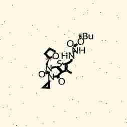 Cc1c(CNNC(=O)OC(C)(C)C)sc2c1c(=O)n(C1CC1)c(=O)n2C[C@H]1CCCO1